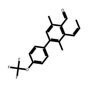 C/C=C\c1c(C)c(-c2ccc(OC(F)(F)F)cc2)cc(C)c1C=O